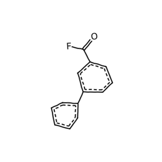 O=C(F)c1cccc(-c2ccccc2)c1